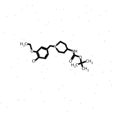 CCOc1cc(CN2CCC(NC(=O)OC(C)(C)C)CC2)ccc1Cl